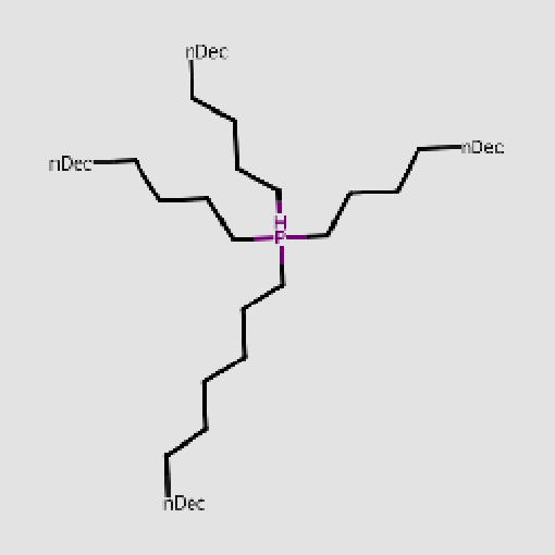 CCCCCCCCCCCCCCCC[PH](CCCCCCCCCCCCCC)(CCCCCCCCCCCCCC)CCCCCCCCCCCCCC